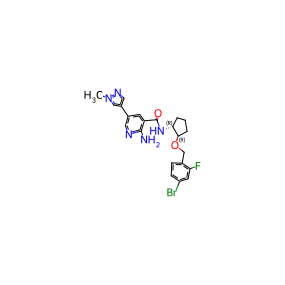 Cn1cc(-c2cnc(N)c(C(=O)N[C@@H]3CCC[C@H]3OCc3ccc(Br)cc3F)c2)cn1